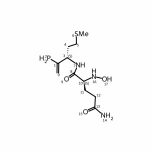 C=C(P)[C@H](CCSC)NC(=O)[C@H](CCC(N)=O)NO